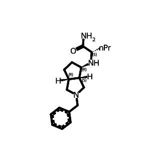 CCC[C@H](N[C@@H]1CC[C@H]2CN(Cc3ccccc3)C[C@H]21)C(N)=O